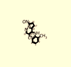 Cc1ccccc1Nc1c(C#N)cnn2c(N=O)ccc12